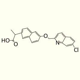 CC(C(=O)O)c1ccc2cc(OCc3ccc4ccc(Cl)cc4n3)ccc2c1